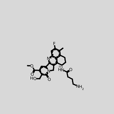 COC(=O)c1cc2n(c(=O)c1CO)Cc1c-2nc2cc(F)c(C)c3c2c1[C@@H](NC(=O)CCCN)CC3